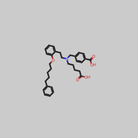 O=C(O)CCCCN(CCc1ccccc1OCCCCCc1ccccc1)Cc1ccc(C(=O)O)cc1